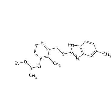 CCOC(C)Oc1ccnc(CSc2nc3cc(C)ccc3[nH]2)c1C